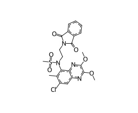 COc1nc2cc(Cl)c(C)c(N(CCN3C(=O)c4ccccc4C3=O)S(C)(=O)=O)c2nc1OC